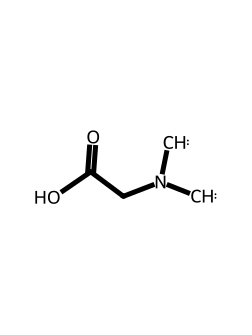 [CH]N([CH])CC(=O)O